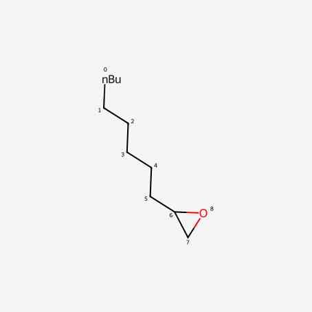 CCCCCCCCCC1CO1